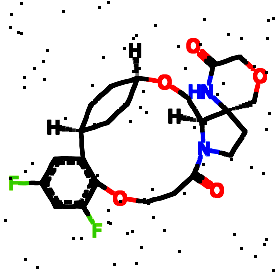 O=C1COC[C@@]2(CCN3C(=O)CCOc4c(F)cc(F)cc4[C@H]4CC[C@H](CC4)OC[C@H]32)N1